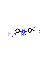 Cc1ccc(-c2n[nH]c(-c3cccc(N)c3)n2)cc1